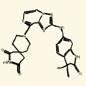 CC1(C)C(=O)Nc2cc(Nc3nc4c(N5CCC6(CC5)CC(=O)NC6=O)nccn4n3)ccc21